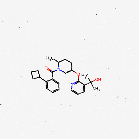 CC1CCC(Oc2ncccc2C(C)(C)O)CN1C(=O)c1ccccc1C1CCC1